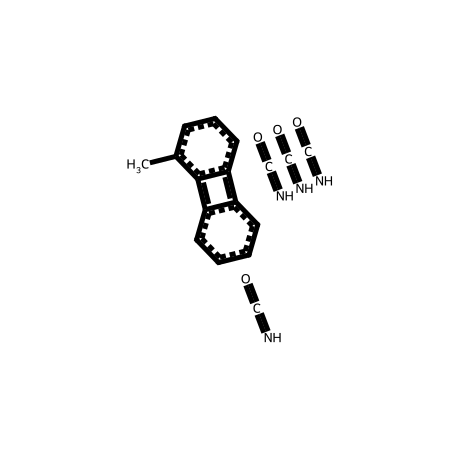 Cc1cccc2c1=c1ccccc1=2.N=C=O.N=C=O.N=C=O.N=C=O